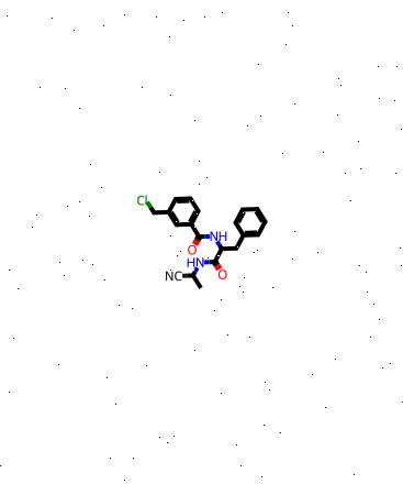 CC(C#N)NC(=O)C(Cc1ccccc1)NC(=O)c1cccc(CCl)c1